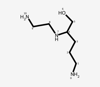 NCCCC(CO)NCCN